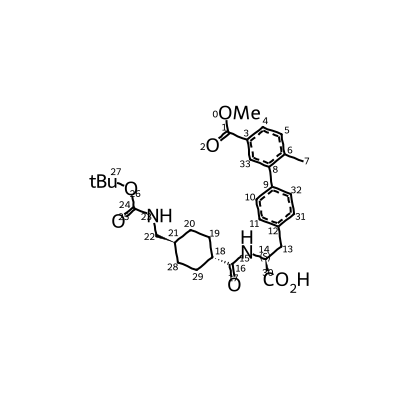 COC(=O)c1ccc(C)c(-c2ccc(C[C@H](NC(=O)[C@H]3CC[C@H](CNC(=O)OC(C)(C)C)CC3)C(=O)O)cc2)c1